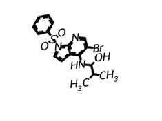 CC(C)C(O)Nc1c(Br)cnc2c1ccn2S(=O)(=O)c1ccccc1